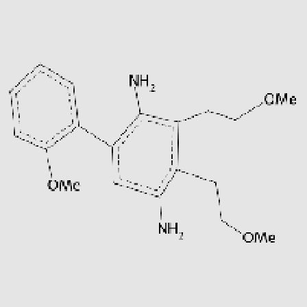 COCCc1c(N)cc(-c2ccccc2OC)c(N)c1CCOC